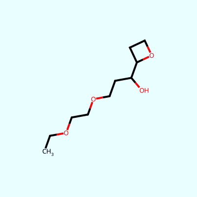 CCOCCOCCC(O)C1CCO1